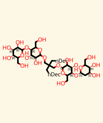 CCCCCCCCCCCC(CCCCCCCCCCC)(COC1OC(CO)[C@H](OC2OC(CO)[C@H](O)[C@@H](O)[C@H]2O)[C@@H](O)[C@H]1O)CO[C@H]1OC(CO)[C@H](O[C@H]2C[C@H](O)[C@@H](O)C(CO)O2)[C@@H](O)C1O